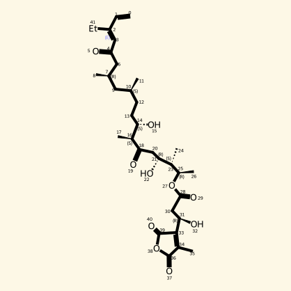 C=C/C(=C/C(=O)C[C@H](C)C[C@@H](C)CC[C@H](O)[C@H](C)C(=O)C[C@@H](O)[C@H](C)[C@@H](C)OC(=O)C[C@@H](O)C1=C(C)C(=O)OC1=O)CC